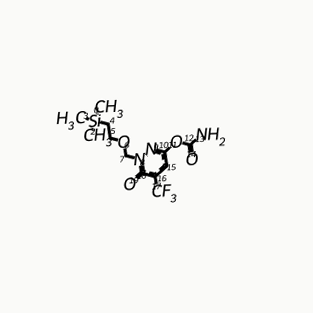 C[Si](C)(C)CCOCn1nc(OC(N)=O)cc(C(F)(F)F)c1=O